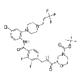 CC(C)(C)OC(=O)N1CCOC(C(=O)NCc2ccc(C(=O)Nc3ccc(Cl)cc3N3CCN(CCC(F)(F)F)CC3)c(F)c2F)C1